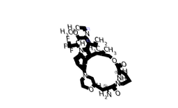 C=C/C(=C(\N=C/C)[C@H](C)OC)c1c2c3cc(ccc3n1CC(F)(F)F)N1CCO[C@@H](C[C@H](N)C(=O)N3CCC[C@H](N3)C(=O)OCC(C)(C)C2)C1